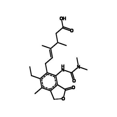 CCc1c(C)c2c(c(NC(=O)N(C)C)c1C/C=C(\C)C(C)CC(=O)O)C(=O)OC2